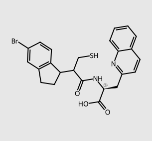 O=C(N[C@@H](Cc1ccc2ccccc2n1)C(=O)O)C(CS)C1CCc2cc(Br)ccc21